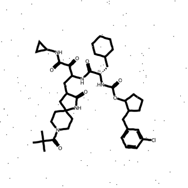 CC(C)(C)C(=O)N1CCC2(CC1)CC(CC(NC(=O)[C@H](CC1CCCCC1)NC(=O)OC1CCCC1Cc1cccc(Cl)c1)C(=O)C(=O)NC1CC1)C(=O)N2